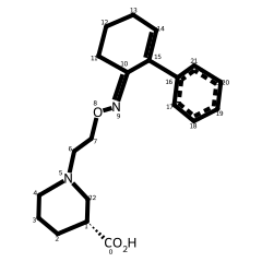 O=C(O)[C@@H]1CCCN(CCO/N=C2\CCCC=C2c2ccccc2)C1